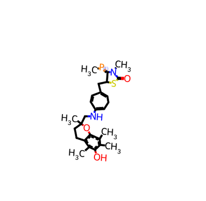 C/P=C1\C(CC2=CCC=C(NCC3(C)CCc4c(C)c(O)c(C)c(C)c4O3)C=C2)SC(=O)N1C